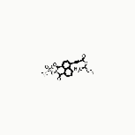 CC(OC(=O)C#Cc1ccc2c3c(cccc13)C(=O)N(OS(=O)(=O)C(F)(F)F)C2=O)C(F)(F)F